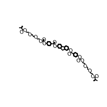 C=C(C)C(=O)OCCOCCOCCOC(=O)Oc1ccc(C(=O)Oc2ccc3c(c2)Cc2cc(OC(=O)c4ccc(OC(=O)OCCOCCOCCOC(=O)C(=C)C)cc4)ccc2-3)cc1